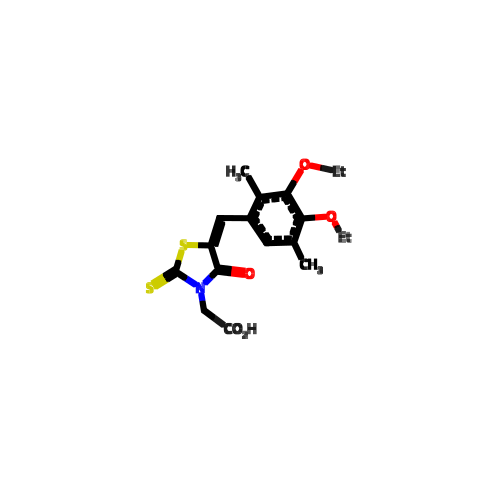 CCOc1c(C)cc(C=C2SC(=S)N(CC(=O)O)C2=O)c(C)c1OCC